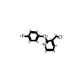 Fc1ccc(Oc2ncccc2CCl)cc1